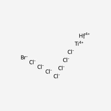 [Br-].[Cl-].[Cl-].[Cl-].[Cl-].[Cl-].[Cl-].[Cl-].[Hf+4].[Ti+4]